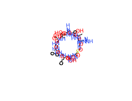 CCCCC[C@@H]1NC(=O)[C@H](CCCNC(=N)N(C)C)NC(=O)[C@H](C)NC(=O)CSC[C@@H](C(N)=O)NC(=O)[C@H](CC(=O)O)NC(=O)[C@H](CCCCc2ccccc2)NC(=O)[C@H](Cc2ccc(-c3ccccc3)cc2)NC(=O)[C@H](CC(C)C)NC(=O)[C@H](C(C)C)NC(=O)[C@H](CCC(=O)O)NC(=O)[C@H](CC(=O)O)CC(=O)[C@H](Cc2c[nH]cn2)NC(=O)[C@H](Cc2ccc(O)cc2)NC1=O